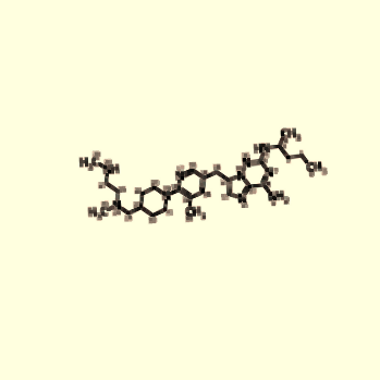 CCCC(C)Nc1nc(N)c2ncc(Cc3cnc(N4CCC(CN(C)CCNC)CC4)c(C)c3)n2n1